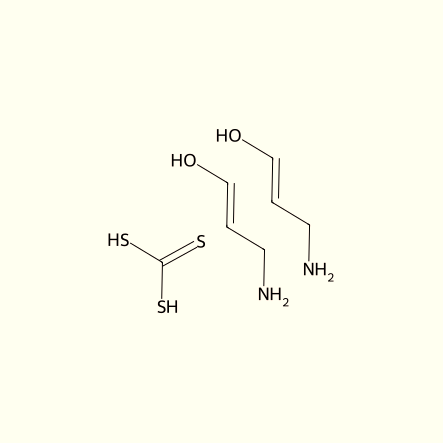 NCC=CO.NCC=CO.S=C(S)S